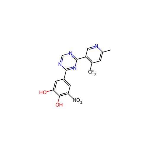 Cc1cc(C(F)(F)F)c(-c2ncnc(-c3cc(O)c(O)c([N+](=O)[O-])c3)n2)cn1